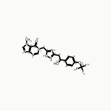 Cn1cnc2ncn(Cc3nc(CC(O)c4ccc(OC(F)(F)F)cc4)no3)c(=O)c21